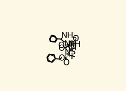 CC1(C)S[C@H]2N(C(=O)[C@@]2(NC=O)NC(=O)C(N)c2ccccc2)[C@H]1C(=O)OCc1ccccc1